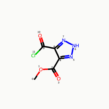 COC(=O)c1n[nH]nc1C(=O)Cl